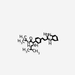 CC(C)CNC(C(=O)NC(C)C)c1ccc(C=CC(=O)Nc2ccccc2N)cc1